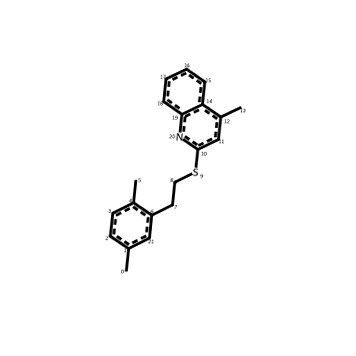 Cc1ccc(C)c(CCSc2cc(C)c3ccccc3n2)c1